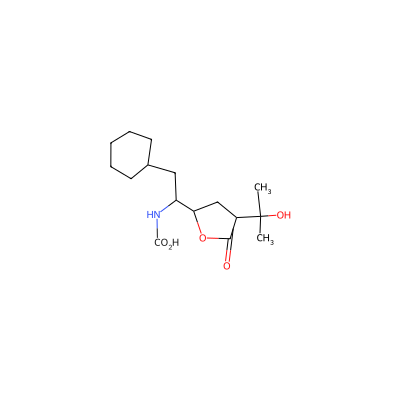 CC(C)(O)C1CC(C(CC2CCCCC2)NC(=O)O)OC1=O